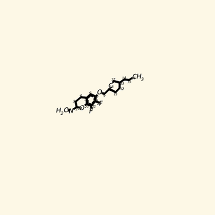 C=NC1CCc2cc(OCC3CCC(CCC)CC3)c(F)c(F)c2O1